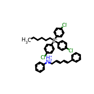 C(C=Cc1ccccc1)=CC[NH2+]c1ccccc1.CCCCCC[B-](c1ccc(Cl)cc1)(c1ccc(Cl)cc1)c1ccc(Cl)cc1